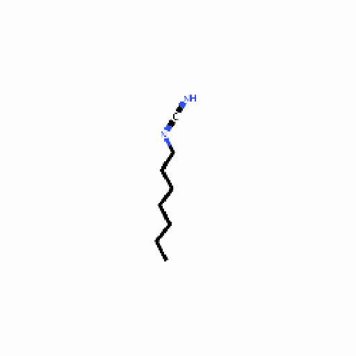 CCCCCCCN=C=N